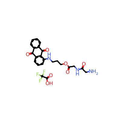 NCC(=O)NCC(=O)OCCCNc1cccc2c1C(=O)c1ccccc1C2=O.O=C(O)C(F)(F)F